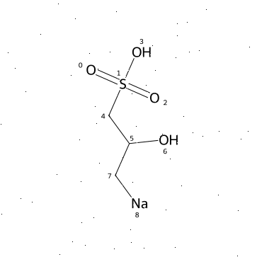 O=S(=O)(O)CC(O)[CH2][Na]